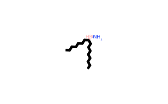 CCCCCCCCC(BN)CCCCCCC